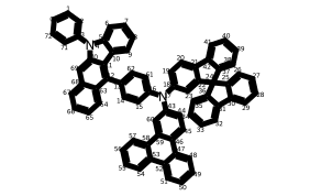 c1ccc(-n2c3ccccc3c3c(-c4ccc(N(c5ccc6c(c5)C5(c7ccccc7-c7ccccc75)c5ccccc5-6)c5ccc6c7ccccc7c7ccccc7c6c5)cc4)c4ccccc4cc32)cc1